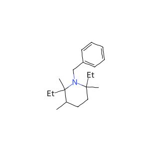 CCC1(C)CCC(C)C(C)(CC)N1Cc1ccccc1